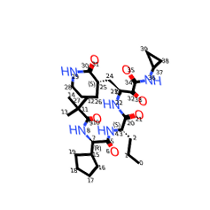 CCC[C@H](NC(=O)[C@H](NC(=O)C(C)(C)C)C1CCCC1)C(=O)N[C@@H](C[C@@H]1CCCNC1=O)C(=O)C(=O)NC1CC1